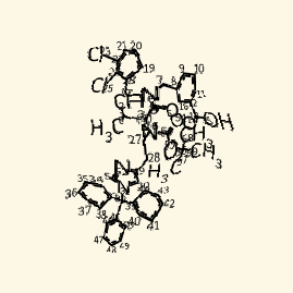 CC(C)[C@@H](C(=O)N(Cc1cccc(C(=O)O)c1)Cc1cccc(Cl)c1Cl)N(CCc1cn(C(c2ccccc2)(c2ccccc2)c2ccccc2)cn1)C(=O)OC(C)(C)C